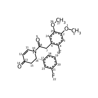 COc1cc(F)c(CC(=O)N2C=CC(=O)C[C@H]2c2cccc(F)c2)cc1OC